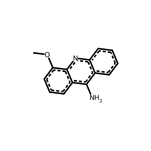 COc1cccc2c(N)c3ccccc3nc12